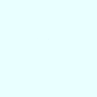 [c]1ccccc1OC1OCCO1